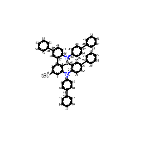 CC(C)(C)c1cc2c3c(c1)N(c1ccc(-c4ccccc4)cc1)c1ccc(-c4ccccc4)cc1B3N(c1ccc(-c3ccccc3)cc1)c1ccc(-c3ccccc3)cc1-2